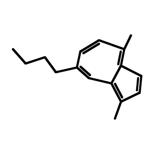 CCCCc1ccc(C)c2ccc(C)c-2c1